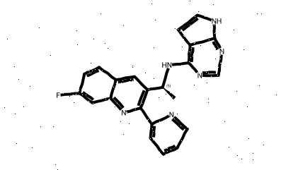 C[C@H](Nc1ncnc2[nH]ccc12)c1cc2ccc(F)cc2nc1-c1ccccn1